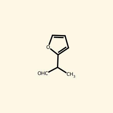 CC(C=O)c1ccco1